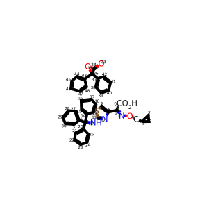 O=C(O)C(=NOCC1CC1)c1csc(NC(c2ccccc2)(c2ccccc2)c2ccccc2)n1.O=C1OC1(c1ccccc1)c1ccccc1